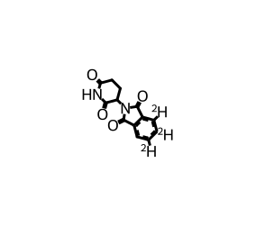 [2H]c1cc2c(c([2H])c1[2H])C(=O)N(C1CCC(=O)NC1=O)C2=O